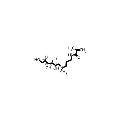 C=C(C)C(=O)NCCCN(C)C[C@H](O)[C@@H](O)[C@H](O)[C@H](O)CO